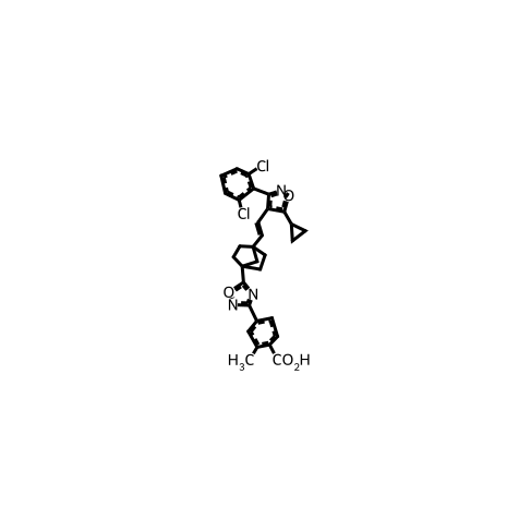 Cc1cc(-c2noc(C34CCC(C=Cc5c(-c6c(Cl)cccc6Cl)noc5C5CC5)(CC3)C4)n2)ccc1C(=O)O